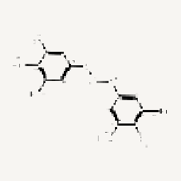 Cc1cc(SSSc2cc(C)c(O)c(C(C)C)c2)cc(C(C)C)c1O